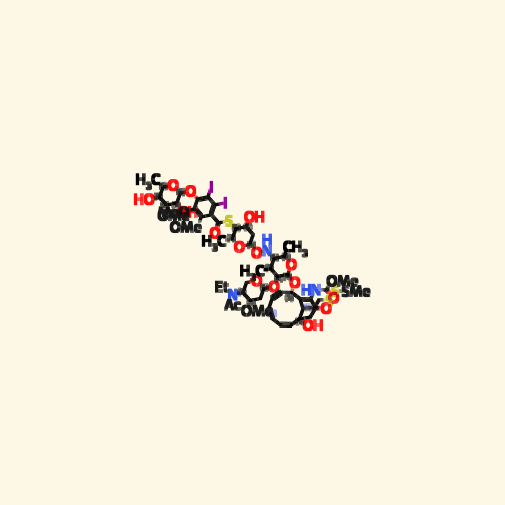 CCN(C(C)=O)[C@H]1CO[C@@H](O[C@H]2[C@H](O[C@H]3C#C/C=C\C#C[C@]4(O)CC(=O)C(NC(=O)OC)=C3/C4=C\CSSSC)O[C@H](C)[C@@H](NO[C@H]3C[C@H](O)[C@H](SC(=O)c4c(I)c(I)c(O[C@@H]5O[C@@H](C)[C@H](O)[C@@H](OC)[C@H]5O)c(OC)c4OC)[C@@H](C)O3)[C@@H]2C)C[C@@H]1OC